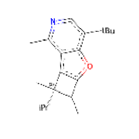 Cc1ncc(C(C)(C)C)c2oc3c(c12)[C@@](C)(C(C)C)C3C